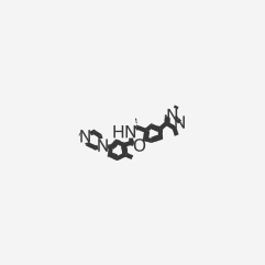 Cc1ccc(N2CCN(C)CC2)cc1C(=O)N[C@H](C)c1cccc(-c2cn(C)nc2C)c1